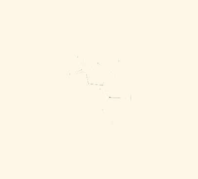 O=S1(=O)CC(C(O)CO)S(=O)(=O)C1